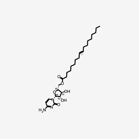 CCCCCCCC/C=C/CCCCCCCC(=O)OC[C@H]1O[C@@H](n2ccc(N)nc2=O)[C@@H](O)[C@@H]1O